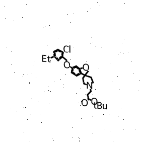 CCc1ccc(Cl)c(COc2ccc3c(c2)OCC32CCN(CCC(=O)OC(C)(C)C)CC2)c1